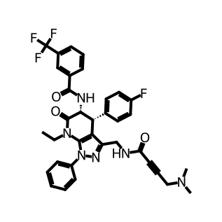 CCN1C(=O)[C@H](NC(=O)c2cccc(C(F)(F)F)c2)[C@H](c2ccc(F)cc2)c2c(CNC(=O)C#CCN(C)C)nn(-c3ccccc3)c21